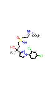 N=S(=O)(CC[C@H](N)C(=O)O)CCC(O)(c1ccn(-c2ccc(Cl)cc2Cl)n1)C(F)(F)F